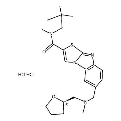 CN(Cc1ccc2nc3sc(C(=O)N(C)CC(C)(C)C)cn3c2c1)C[C@H]1CCCO1.Cl.Cl